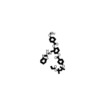 C=CC(=O)OC(C)(C)CC(C)(C)Oc1ccc(C(=O)Oc2ccc(OC(=O)c3ccc(OC(C)(C)C)cc3)c(/C=N/Nc3nc4ccccc4s3)c2)cc1